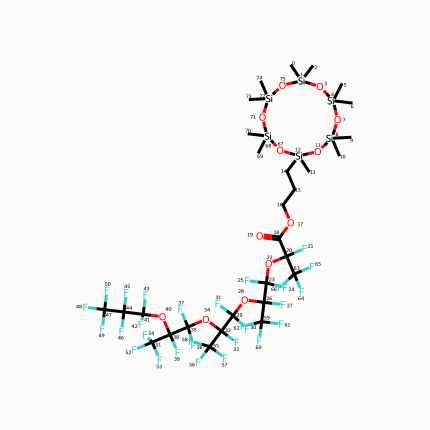 C[Si]1(C)O[Si](C)(C)O[Si](C)(C)O[Si](C)(CCCOC(=O)C(F)(OC(F)(F)C(F)(OC(F)(F)C(F)(OC(F)(F)C(F)(OC(F)(F)C(F)(F)C(F)(F)F)C(F)(F)F)C(F)(F)F)C(F)(F)F)C(F)(F)F)O[Si](C)(C)O[Si](C)(C)O1